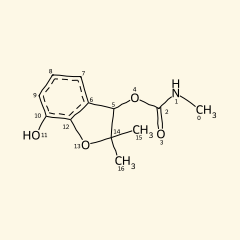 CNC(=O)OC1c2cccc(O)c2OC1(C)C